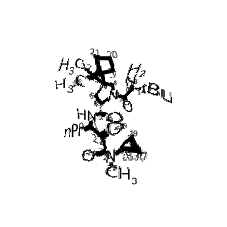 CCCC(NC(=O)[C@@H]1C[C@@]2(CN1C(=O)[C@@H](N)C(C)(C)C)C(C)(C)C21CCC1)C(=O)C(=O)N(C)C1CC1